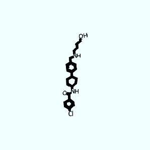 O=C(NC1CCC(c2ccc(CNCCCCO)cc2)CC1)c1ccc(Cl)cc1